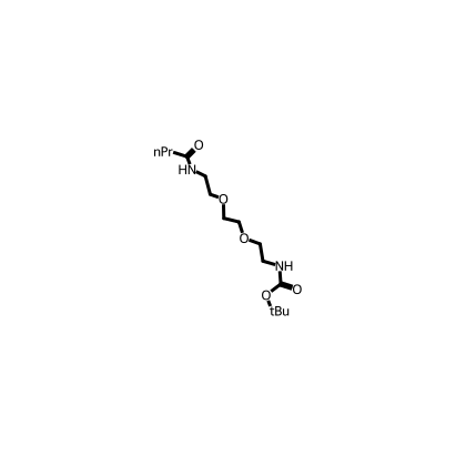 CCCC(=O)NCCOCCOCCNC(=O)OC(C)(C)C